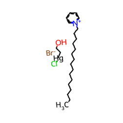 CCCCCCCCCCCCCCCC[n+]1ccccc1.OC[CH2][Hg][Cl].[Br-]